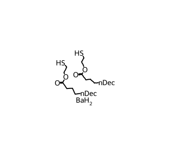 CCCCCCCCCCCCCC(=O)OCCS.CCCCCCCCCCCCCC(=O)OCCS.[BaH2]